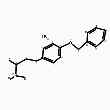 CC(CCc1ccc(OCc2ccccc2)cc1)N(C)C.Cl